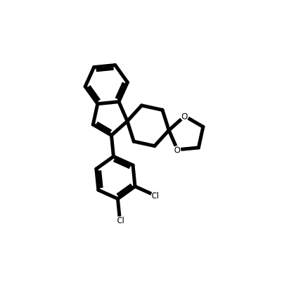 Clc1ccc(C2=Cc3ccccc3C23CCC2(CC3)OCCO2)cc1Cl